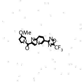 COC1CCN(C(=O)c2cn3cc(-c4noc(C(F)(F)F)n4)ccc3n2)C1